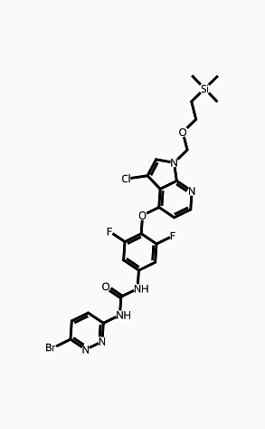 C[Si](C)(C)CCOCn1cc(Cl)c2c(Oc3c(F)cc(NC(=O)Nc4ccc(Br)nn4)cc3F)ccnc21